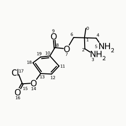 CC(CN)(CN)COC(=O)c1ccc(OC(=O)Cl)cc1